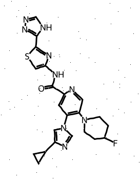 O=C(Nc1csc(-c2nnc[nH]2)n1)c1cc(-n2cnc(C3CC3)c2)c(N2CCC(F)CC2)cn1